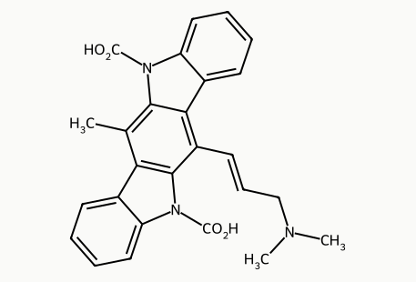 Cc1c2c3ccccc3n(C(=O)O)c2c(C=CCN(C)C)c2c3ccccc3n(C(=O)O)c12